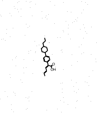 CC=CC=C(C(=O)O)c1ccc(C2CCC(CCC)CC2)cc1